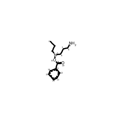 CCCN(CCCN)OC(=O)c1ccccc1